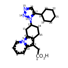 O=C(O)Cc1c2c(n3ccccc13)CC(n1nncc1C1CCCCC1)CC2